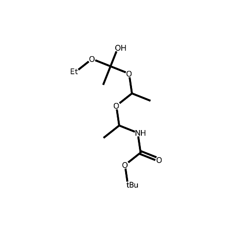 CCOC(C)(O)OC(C)OC(C)NC(=O)OC(C)(C)C